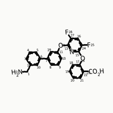 NCc1cccc(-c2cccc(Oc3nc(Oc4ccccc4C(=O)O)c(F)cc3F)c2)c1